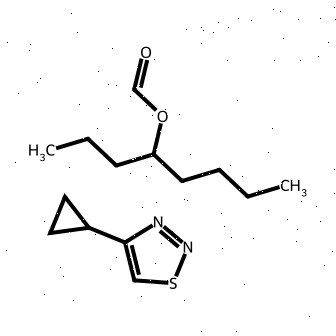 CCCCC(CCC)OC=O.c1snnc1C1CC1